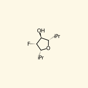 CC(C)[C@H]1O[C@@H](C(C)C)[C@H](O)[C@H]1F